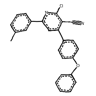 Cc1cccc(-c2cc(-c3ccc(Oc4ccccc4)cc3)c(C#N)c(Cl)n2)c1